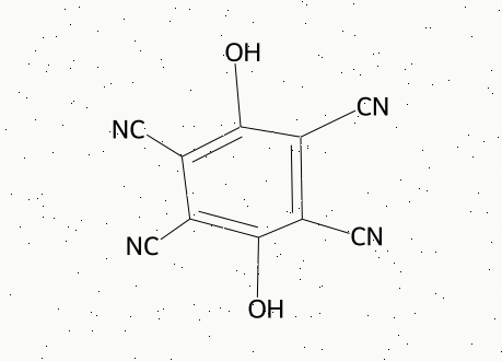 N#Cc1c(O)c(C#N)c(C#N)c(O)c1C#N